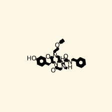 C#COCCN1C[C@H]2N(C(=O)CN(C)N2C(=O)NCc2ccccc2)[C@@H](Cc2ccc(O)cc2)C1=O